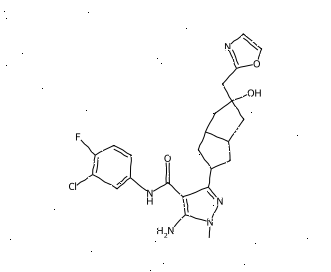 Cn1nc(C2CC3CC(O)(Cc4ncco4)CC3C2)c(C(=O)Nc2ccc(F)c(Cl)c2)c1N